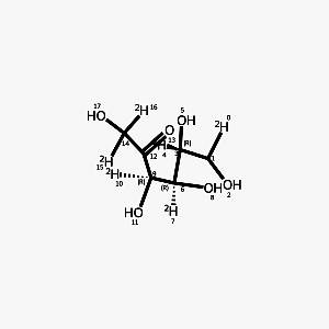 [2H]C(O)[C@@]([2H])(O)[C@@]([2H])(O)[C@@]([2H])(O)C(=O)C([2H])([2H])O